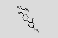 Cc1ccc(N2CCC(C(=O)N(C)C)CC2)c(Cl)c1